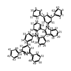 c1ccc(-c2cc(-c3ccccc3)cc(-n3c4c(c5ccccc53)-c3ccccc3N(c3cccc(-c5cc(-c6ccccc6)nc(-c6ccccc6)c5)c3)c3ccccc3-4)c2)cc1